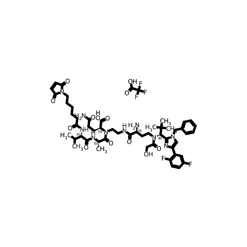 CC(C)[C@H](NC(=O)CCCCCN1C(=O)C=CC1=O)C(=O)N[C@@H](C)C(=O)N(CCNC(=O)[C@@H](N)CCN(C(=O)CO)[C@@H](c1nc(-c2cc(F)ccc2F)cn1Cc1ccccc1)C(C)(C)C)[C@@H](CCC(N)=O)C(=O)O.O=C(O)C(F)(F)F